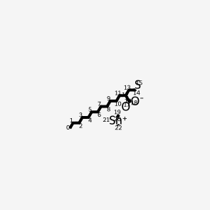 CCCCCCCCCCCCC(CC=S)C(=O)[O-].[CH3][Sn+]([CH3])[CH3]